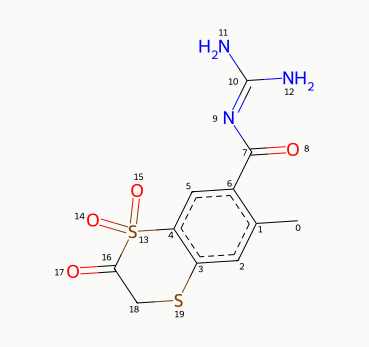 Cc1cc2c(cc1C(=O)N=C(N)N)S(=O)(=O)C(=O)CS2